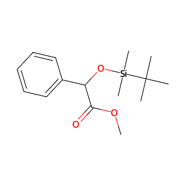 COC(=O)C(O[Si](C)(C)C(C)(C)C)c1ccccc1